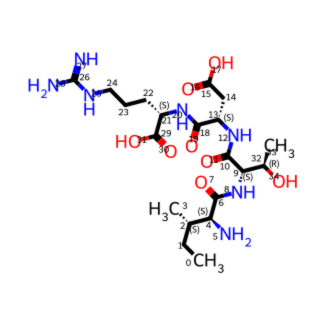 CC[C@H](C)[C@H](N)C(=O)N[C@H](C(=O)N[C@@H](CC(=O)O)C(=O)N[C@@H](CCCNC(=N)N)C(=O)O)[C@@H](C)O